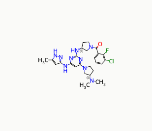 Cc1cc(Nc2cc(N3CC[C@H](N(C)C)C3)nc(N[C@H]3CCN(C(=O)c4cccc(Cl)c4F)C3)n2)n[nH]1